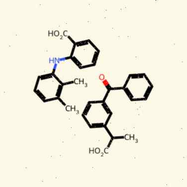 CC(C(=O)O)c1cccc(C(=O)c2ccccc2)c1.Cc1cccc(Nc2ccccc2C(=O)O)c1C